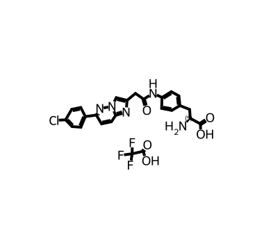 N[C@@H](Cc1ccc(NC(=O)Cc2cn3nc(-c4ccc(Cl)cc4)ccc3n2)cc1)C(=O)O.O=C(O)C(F)(F)F